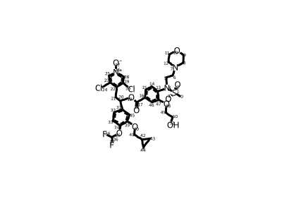 CS(=O)(=O)N(CCN1CCOCC1)c1ccc(C(=O)OC(Cc2c(Cl)c[n+]([O-])cc2Cl)c2ccc(OC(F)F)c(OCC3CC3)c2)cc1OCCO